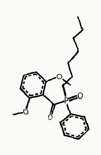 CCCCCCCP(=O)(C(=O)c1c(OC)cccc1OC)c1ccccc1